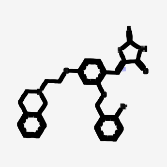 O=C1NC(=S)S/C1=C\c1ccc(OCCN2CCc3ccccc3C2)cc1OCc1ccccc1Br